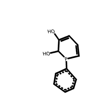 OC1=CC=CP(c2ccccc2)C1O